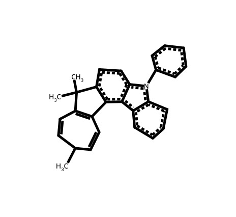 CC1C=CC2=C(C=C1)C(C)(C)c1ccc3c(c12)c1ccccc1n3-c1ccccc1